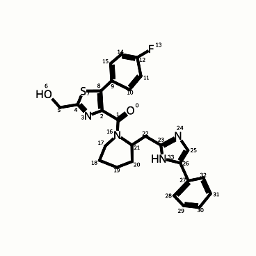 O=C(c1nc(CO)sc1-c1ccc(F)cc1)N1CCCCC1Cc1ncc(-c2ccccc2)[nH]1